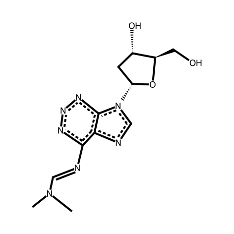 CN(C)C=Nc1nnnc2c1ncn2[C@@H]1C[C@H](O)[C@@H](CO)O1